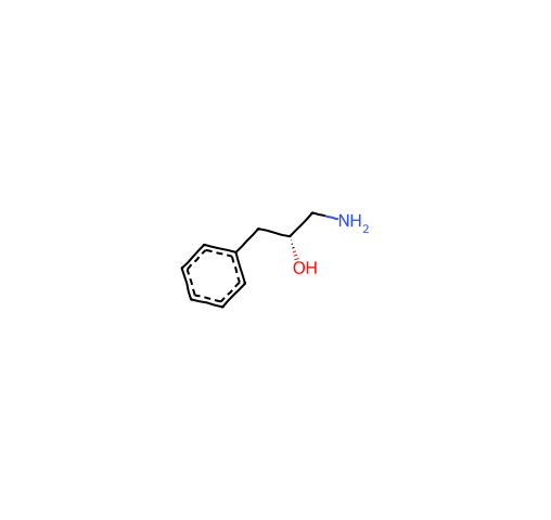 NC[C@H](O)Cc1ccccc1